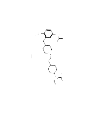 CCN(C(C)=O)C1CCC(CCN2CCC(Cc3cc(OC(C)C)ccc3Br)CC2)CC1.Cl